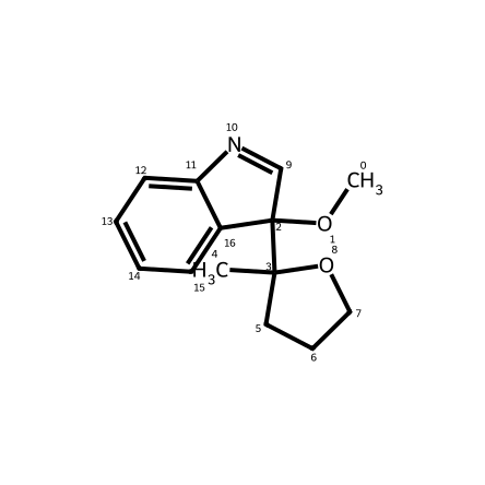 COC1(C2(C)CCCO2)C=Nc2ccccc21